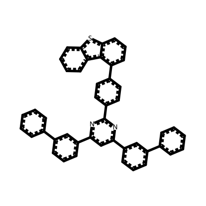 c1ccc(-c2cccc(-c3cc(-c4cccc(-c5ccccc5)c4)nc(-c4ccc(-c5cccc6sc7ccccc7c56)cc4)n3)c2)cc1